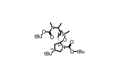 CC(CC[C@@]1(O[SiH](C)C)C[C@H](C(C)(C)C)CN1C(=O)OC(C)(C)C)N(C)C(=O)OC(C)(C)C